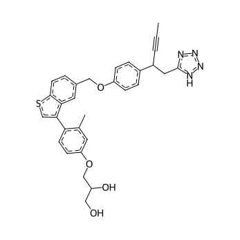 CC#CC(Cc1nnn[nH]1)c1ccc(OCc2ccc3scc(-c4ccc(OCC(O)CO)cc4C)c3c2)cc1